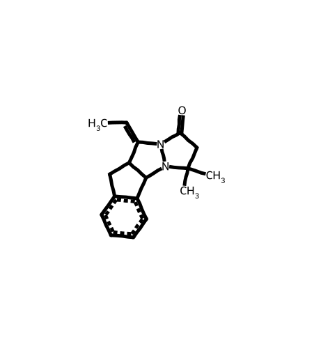 C/C=C1\C2Cc3ccccc3C2N2N1C(=O)CC2(C)C